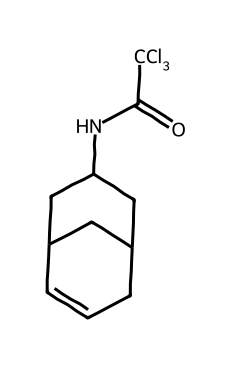 O=C(NC1CC2C=CCC(C2)C1)C(Cl)(Cl)Cl